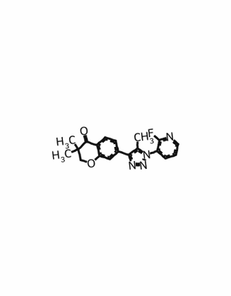 Cc1c(-c2ccc3c(c2)OCC(C)(C)C3=O)nnn1-c1cccnc1F